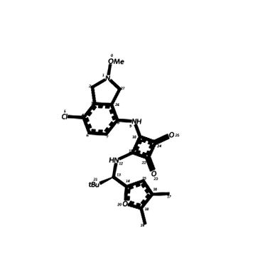 CON1Cc2c(Cl)ccc(Nc3c(N[C@@H](c4cc(C)c(C)o4)C(C)(C)C)c(=O)c3=O)c2C1